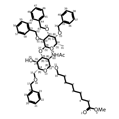 COC(=O)CCCCCCCCO[C@@H]1O[C@H](COCc2ccccc2)[C@@H](O)[C@H](O[C@@H]2O[C@@H](C)[C@@H](OCc3ccccc3)[C@@H](OCc3ccccc3)[C@@H]2OCc2ccccc2)[C@H]1NC(C)=O